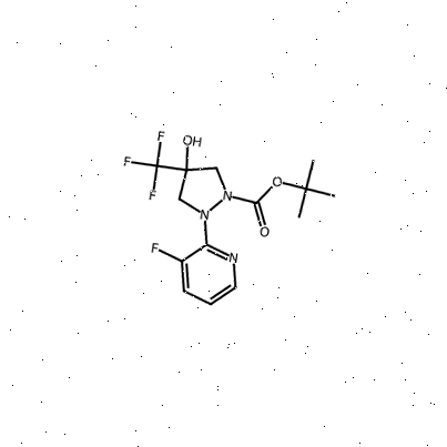 CC(C)(C)OC(=O)N1CC(O)(C(F)(F)F)CN1c1ncccc1F